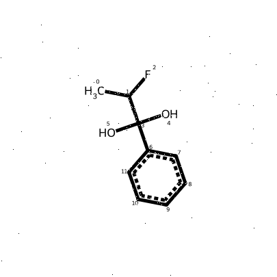 CC(F)C(O)(O)c1ccccc1